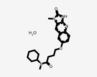 CN(C(=O)CCCOc1ccc2nc3[nH]c(=O)n(C)c3cc2c1)C1CCCCC1.O